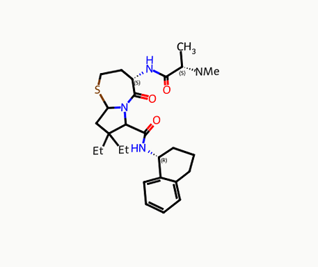 CCC1(CC)CC2SCC[C@H](NC(=O)[C@H](C)NC)C(=O)N2C1C(=O)N[C@@H]1CCCc2ccccc21